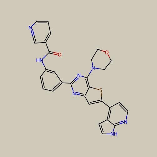 O=C(Nc1cccc(-c2nc(N3CCOCC3)c3sc(-c4ccnc5[nH]ccc45)cc3n2)c1)c1cccnc1